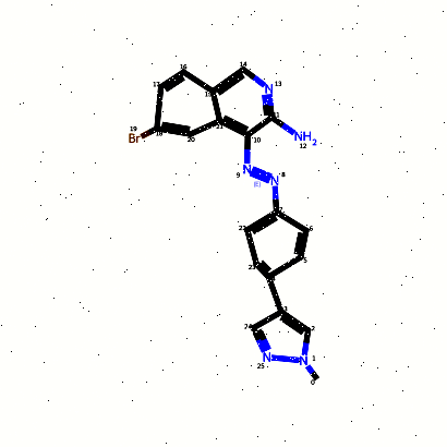 Cn1cc(-c2ccc(/N=N/c3c(N)ncc4ccc(Br)cc34)cc2)cn1